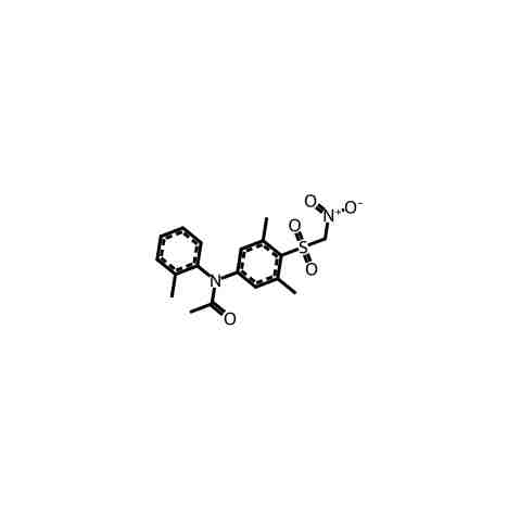 CC(=O)N(c1cc(C)c(S(=O)(=O)C[N+](=O)[O-])c(C)c1)c1ccccc1C